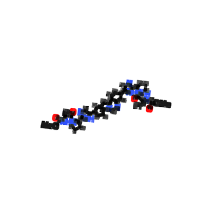 COC(=O)NC(C(=O)N1CCC[C@H]1c1ncc(-c2ccc3c(c2)cc2c4ccc(-c5cnc([C@@H]6CCCN6C(=O)C(NC(=O)OC)C(C)C)[nH]5)cc4ncn32)[nH]1)C(C)C